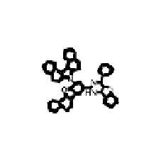 c1ccc(C2=C3Sc4ccccc4C3NC(c3cc(-n4c5ccc6ccccc6c5c5c6ccccc6ccc54)c4oc5c6ccccc6ccc5c4c3)=N2)cc1